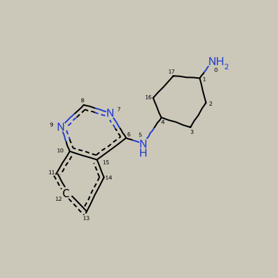 NC1CCC(Nc2ncnc3ccccc23)CC1